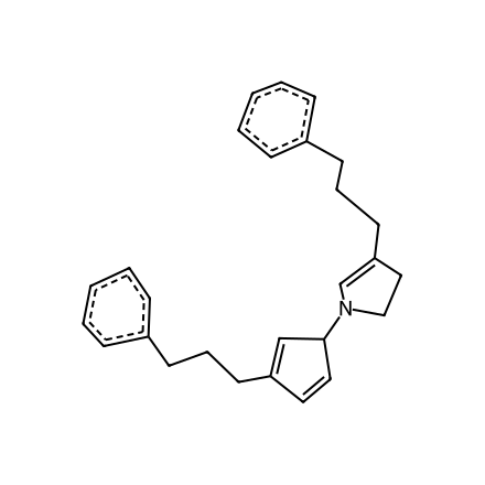 C1=CC(N2C=C(CCCc3ccccc3)CC2)C=C1CCCc1ccccc1